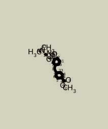 COC(=O)c1ccc(Cc2cccc(S(=O)(=O)N=CN(C)C)c2)cc1